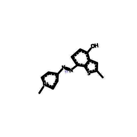 Cc1cc2c(O)ccc(/N=N/c3cc[n+](C)cc3)c2s1